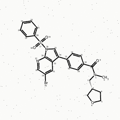 CN(C[C@@H]1CCOC1)C(=O)c1ccc(-c2cn(S(=O)(=O)c3ccccc3)c3ncc(Br)cc23)cc1